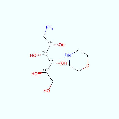 C1COCCN1.NC[C@H](O)[C@@H](O)[C@H](O)[C@H](O)CO